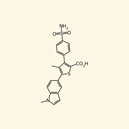 Cc1c(-c2ccc3c(ccn3C)c2)sc(C(=O)O)c1-c1ccc(S(N)(=O)=O)cc1